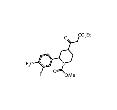 CCOC(=O)CC(=O)C1CCN(C(=O)OC)C(c2ccc(C(F)(F)F)c(F)c2)C1